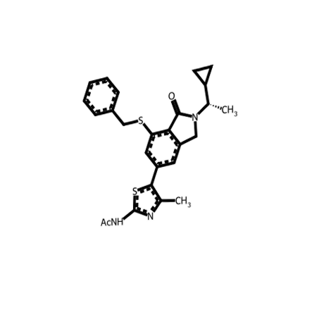 CC(=O)Nc1nc(C)c(-c2cc3c(c(SCc4ccccc4)c2)C(=O)N([C@@H](C)C2CC2)C3)s1